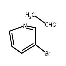 Brc1cccnc1.CC=O